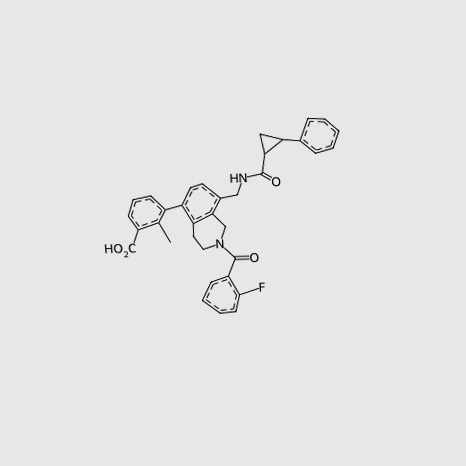 Cc1c(C(=O)O)cccc1-c1ccc(CNC(=O)C2CC2c2ccccc2)c2c1CCN(C(=O)c1ccccc1F)C2